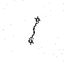 Cc1cc[n+](CCCCC#CC#CCCCC[n+]2ccc(C)c(C)c2)cc1C